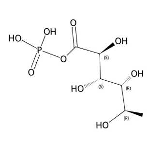 C[C@@H](O)[C@@H](O)[C@H](O)[C@H](O)C(=O)OP(=O)(O)O